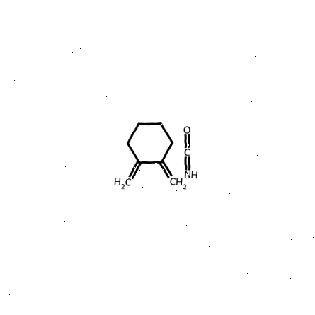 C=C1CCCCC1=C.N=C=O